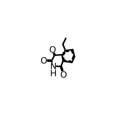 CCc1cccc2c1C(=O)C(=O)NC2=O